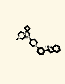 CN1CCN(C2(CNC3CCN(c4cccc(-c5cc6ccccc6[nH]5)c4)CC3)CCC2)CC1